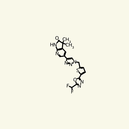 CC1(C)C(=O)Nc2ncc(-c3cn(Cc4ccc(-c5nnc(C(F)F)o5)s4)nn3)cc21